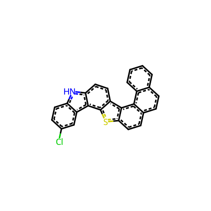 Clc1ccc2[nH]c3ccc4c(sc5ccc6ccc7ccccc7c6c54)c3c2c1